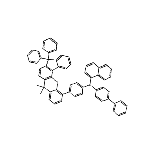 CC1(C)c2cccc(-c3ccc(N(c4ccc(-c5ccccc5)cc4)c4cccc5ccccc45)cc3)c2Sc2c1ccc1c2-c2ccccc2C1(c1ccccc1)c1ccccc1